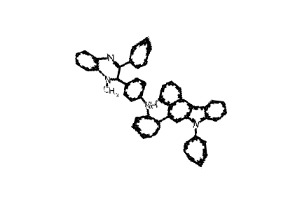 CN1c2ccccc2N=C(c2ccccc2)C1c1ccc(Nc2ccccc2-c2cc3c(c4ccccc24)c2ccccc2n3-c2ccccc2)cc1